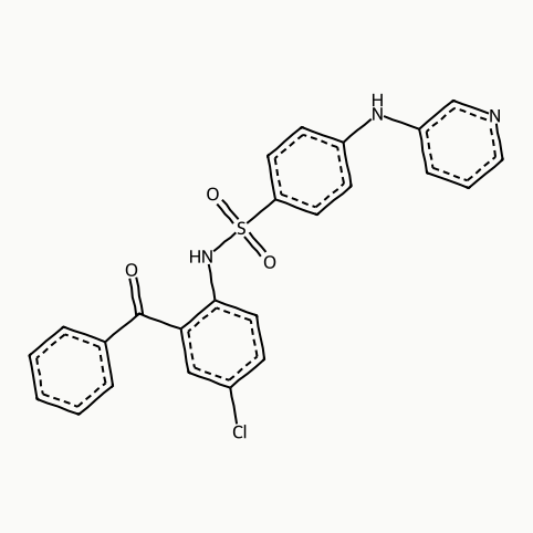 O=C(c1ccccc1)c1cc(Cl)ccc1NS(=O)(=O)c1ccc(Nc2cccnc2)cc1